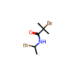 [CH2]C(Br)NC(=O)C(C)(C)Br